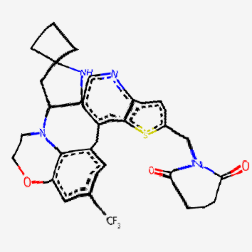 O=C1CCC(=O)N1Cc1cc2nccc(-c3cc(C(F)(F)F)cc4c3N(C3CNC5(CCC5)C3)CCO4)c2s1